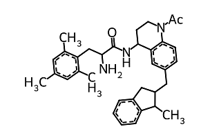 CC(=O)N1CCC(NC(=O)C(N)Cc2c(C)cc(C)cc2C)c2cc(CC3Cc4ccccc4C3C)ccc21